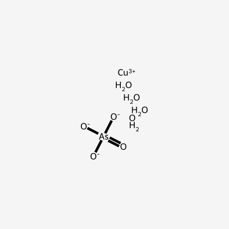 O.O.O.O.O=[As]([O-])([O-])[O-].[Cu+3]